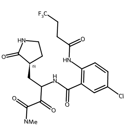 CNC(=O)C(=O)C(C[C@@H]1CCNC1=O)NC(=O)c1cc(Cl)ccc1NC(=O)CCC(F)(F)F